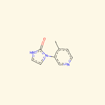 Cc1ccncc1-n1cc[nH]c1=O